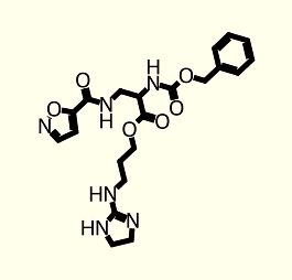 O=C(NC(CNC(=O)c1ccno1)C(=O)OCCCNC1=NCCN1)OCc1ccccc1